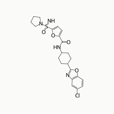 N=S(=O)(c1ccc(C(=O)NC2CCC(c3nc4cc(Cl)ccc4o3)CC2)o1)N1CCCC1